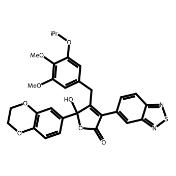 COc1cc(CC2=C(c3ccc4nsnc4c3)C(=O)OC2(O)c2ccc3c(c2)OCCO3)cc(OC(C)C)c1OC